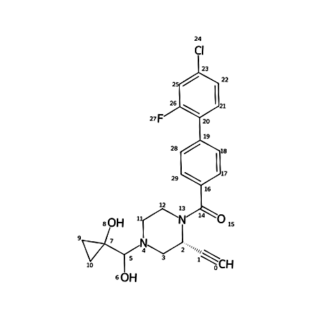 C#C[C@@H]1CN(C(O)C2(O)CC2)CCN1C(=O)c1ccc(-c2ccc(Cl)cc2F)cc1